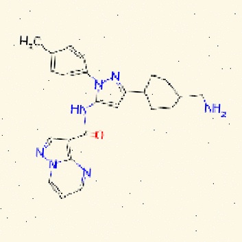 Cc1ccc(-n2nc(C3CCC(CN)CC3)cc2NC(=O)c2cnn3cccnc23)cc1